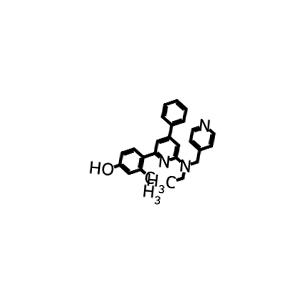 CCN(Cc1ccncc1)c1cc(-c2ccccc2)cc(-c2ccc(O)cc2C)n1